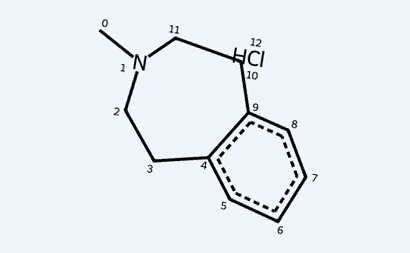 CN1CCc2ccccc2CC1.Cl